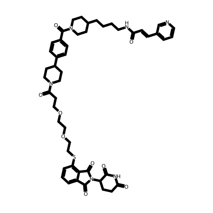 O=C(/C=C/c1cccnc1)NCCCCC1CCN(C(=O)c2ccc(C3CCN(C(=O)CCOCCOCCSc4cccc5c4C(=O)N(C4CCC(=O)NC4=O)C5=O)CC3)cc2)CC1